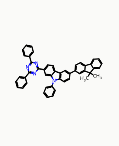 CC1(C)c2ccccc2-c2ccc(-c3ccc4c(c3)c3ccc(-c5nc(-c6ccccc6)nc(-c6ccccc6)n5)cc3n4-c3ccccc3)cc21